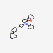 c1ccc2cc(N(c3ccc(-c4ccc5sc6ccccc6c5c4)cc3)c3cccc4c3oc3ccccc34)ccc2c1